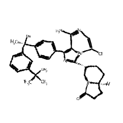 CC(C)(c1cccc([C@@](C)(O)c2ccc(-c3nc([C@@H]4CC[C@H]5CCC(=O)N5C4)n4c(Cl)cnc(N)c34)cc2)c1)C(F)(F)F